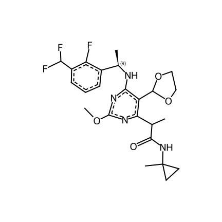 COc1nc(N[C@H](C)c2cccc(C(F)F)c2F)c(C2OCCO2)c(C(C)C(=O)NC2(C)CC2)n1